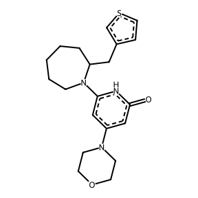 O=c1cc(N2CCOCC2)cc(N2CCCCCC2Cc2ccsc2)[nH]1